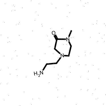 CN1CCN(CCN)CC1=O